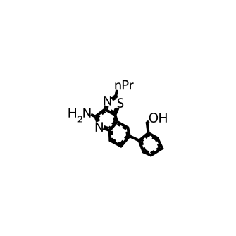 CCCc1nc2c(N)nc3ccc(-c4ccccc4CO)cc3c2s1